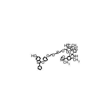 Cc1ncoc1-c1ccc([C@H](C)NC(=O)[C@@H]2CCCN2C(=O)C(NC(=O)COCCOCCOCCOc2ccc(Oc3c(-c4ccccc4)sc4cc(O)ccc34)cc2)C(C)(C)C)cc1